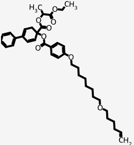 C=CCCCCOCCCCCCCCOc1ccc(C(=O)OC2(C(=O)OC(C)C(=O)OCC)C=CC(c3ccccc3)=CC2)cc1